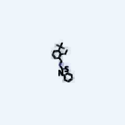 CCc1c(/C=C/c2nc3ccccc3s2)cccc1C(C)(C)C